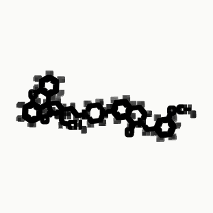 CCNC(=O)C1(CCCCN2CCN(c3ccc4c(c3)C(=O)N(Cc3cccc(OC)c3)CC4)CC2)c2ccccc2Oc2ccccc21